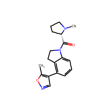 Cc1oncc1-c1cccc2c1CCN2C(=O)[C@@H]1CCCN1C#N